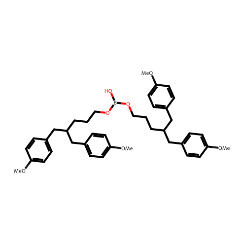 COc1ccc(CC(CCCOB(O)OCCCC(Cc2ccc(OC)cc2)Cc2ccc(OC)cc2)Cc2ccc(OC)cc2)cc1